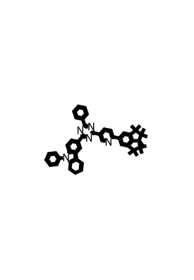 CC1(C)c2cc(-c3ccc(-c4nc(-c5ccccc5)nc(-c5ccc6c(c5)c5c(n6-c6ccccc6)CCC=C5)n4)cn3)cc3c2C(C)(C1(C)C)C(C)(C)C3(C)C